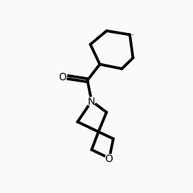 O=C(C1CC[CH]CC1)N1CC2(COC2)C1